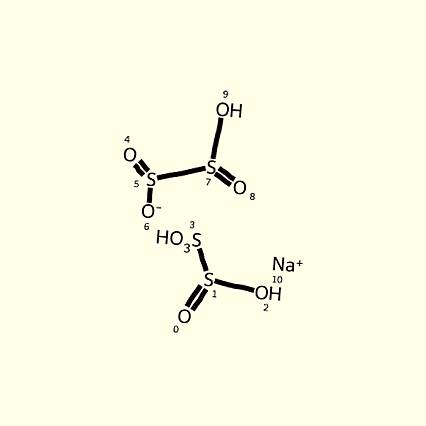 O=S(O)S(=O)(=O)O.O=S([O-])S(=O)O.[Na+]